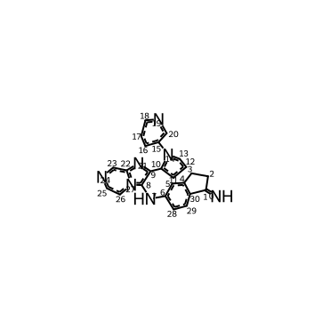 N=C1CCc2cc(Nc3c(-c4cccn4-c4cccnc4)nc4cnccn34)ccc21